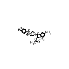 COc1ccc(S(=O)(=O)N2CCN(C(Oc3cccc(N)c3)C(C)OC(C)=O)CC2)cc1